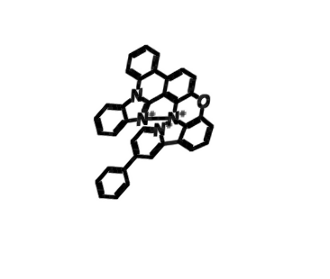 c1ccc(-c2cc[n+]3c(c2)-c2cccc4c2[N+]32c3c(ccc5c6ccccc6n6c7ccccc7[n+]2c6c35)O4)cc1